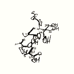 C=C(C)C(=O)O.C=C(C)C(=O)O.C=C(C)C(=O)O.CCOCCC(CO)(CO)CO